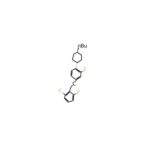 CCCC[C@H]1CC[C@H](c2ccc(CCc3c(F)cccc3F)cc2F)CC1